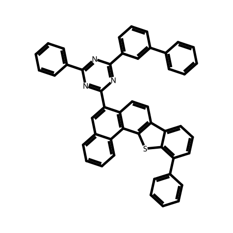 c1ccc(-c2cccc(-c3nc(-c4ccccc4)nc(-c4cc5ccccc5c5c4ccc4c6cccc(-c7ccccc7)c6sc45)n3)c2)cc1